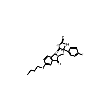 CCCCOc1ccc2c(c1)C(=O)N(C[C@@]1(c3ccc(F)cc3)NC(=O)NC1=O)C2